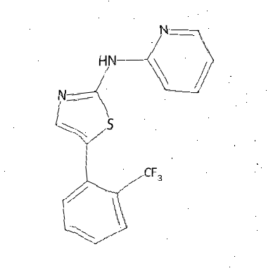 FC(F)(F)c1ccccc1-c1cnc(Nc2ccccn2)s1